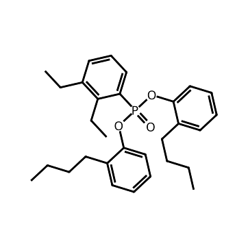 CCCCc1ccccc1OP(=O)(Oc1ccccc1CCCC)c1cccc(CC)c1CC